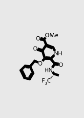 COC(=O)c1c[nH]c(C(=O)N[C@H](C)C(F)(F)F)c(OCc2ccccc2)c1=O